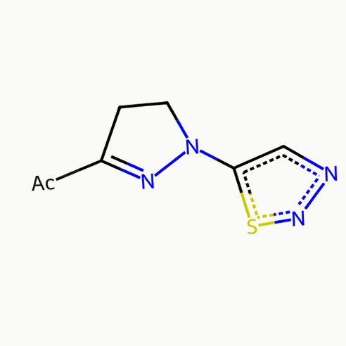 CC(=O)C1=NN(c2cnns2)CC1